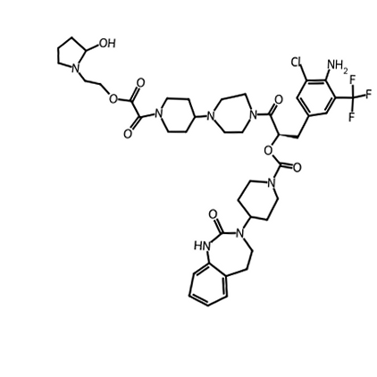 Nc1c(Cl)cc(C[C@@H](OC(=O)N2CCC(N3CCc4ccccc4NC3=O)CC2)C(=O)N2CCN(C3CCN(C(=O)C(=O)OCCN4CCCC4O)CC3)CC2)cc1C(F)(F)F